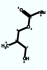 CCCCC(=O)OCC(C)CO